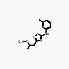 Cc1cccc(Nc2nc(CC(C)O[N+](=O)[O-])ns2)c1